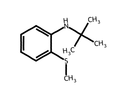 CSc1ccccc1NC(C)(C)C